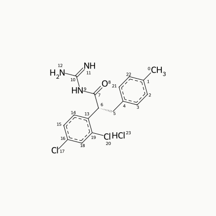 Cc1ccc(C[C@@H](C(=O)NC(=N)N)c2ccc(Cl)cc2Cl)cc1.Cl